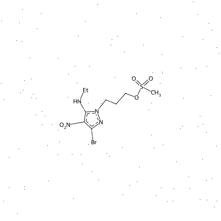 CCNc1c([N+](=O)[O-])c(Br)nn1CCCOS(C)(=O)=O